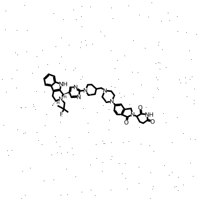 C[C@@H]1Cc2c([nH]c3ccccc23)[C@@H](c2cnc(N3CCC(CN4CCN(c5ccc6c(c5)CN(C5CCC(=O)NC5=O)C6=O)CC4)CC3)nc2)N1CC(C)(C)F